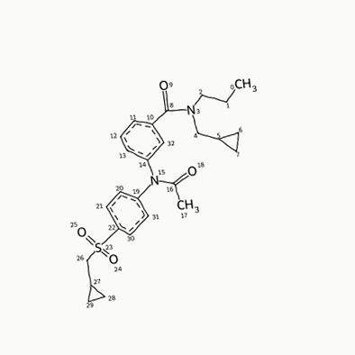 CCCN(CC1CC1)C(=O)c1cccc(N(C(C)=O)c2ccc(S(=O)(=O)CC3CC3)cc2)c1